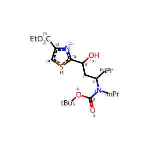 CCCN(C(=O)OC(C)(C)C)C(CC(O)c1nc(C(=O)OCC)cs1)C(C)C